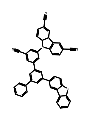 N#CC1=CC2c3cc(C#N)ccc3N(c3cc(C#N)cc(-c4cc(-c5ccccc5)cc(-c5ccc6oc7ccccc7c6c5)c4)c3)C2C=C1